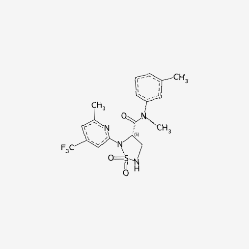 Cc1cccc(N(C)C(=O)[C@@H]2CNS(=O)(=O)N2c2cc(C(F)(F)F)cc(C)n2)c1